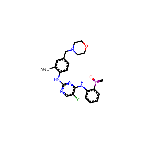 C=P(=O)c1ccccc1Nc1nc(Nc2ccc(CN3CCOCC3)cc2OC)ncc1Cl